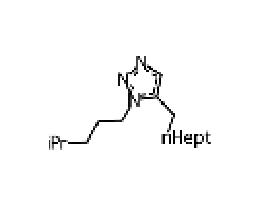 CCCCCCCCc1cnnn1CCCC(C)C